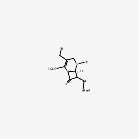 CCCCCNC1C(=O)N2C(C(=O)O)=C(CBr)C[S+]([O-])[C@@H]12